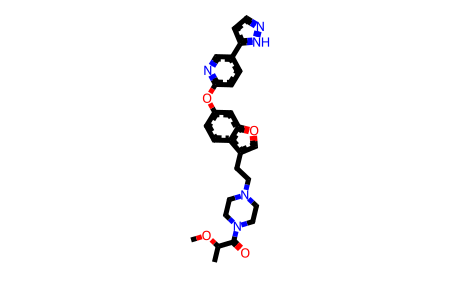 COC(C)C(=O)N1CCN(CCc2coc3cc(Oc4ccc(-c5ccn[nH]5)cn4)ccc23)CC1